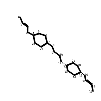 C/C=C/CC1CCC(CCCC[C@H]2CC[C@H](C/C=C/C)CC2)CC1